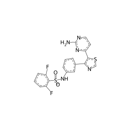 Nc1nccc(-c2scnc2-c2cccc(NS(=O)(=O)c3c(F)cccc3F)c2)n1